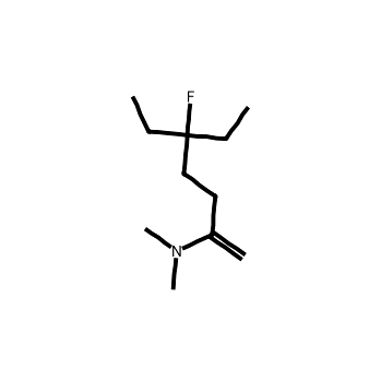 C=C(CCC(F)(CC)CC)N(C)C